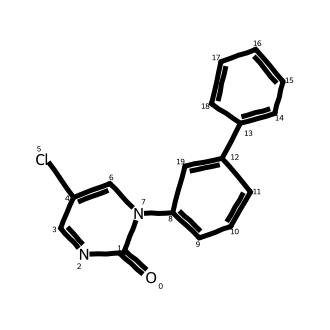 O=c1ncc(Cl)cn1-c1cccc(-c2ccccc2)c1